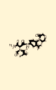 NC(=O)[C@H](C(=O)Nc1ccc(N2CCOCC2=O)c(C(F)F)c1)N(CC(F)F)CC(F)(F)F